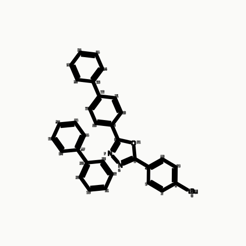 CC(C)(C)c1ccc(-c2nnc(-c3ccc(-c4ccccc4)cc3)o2)cc1.c1ccc(-c2ccccc2)cc1